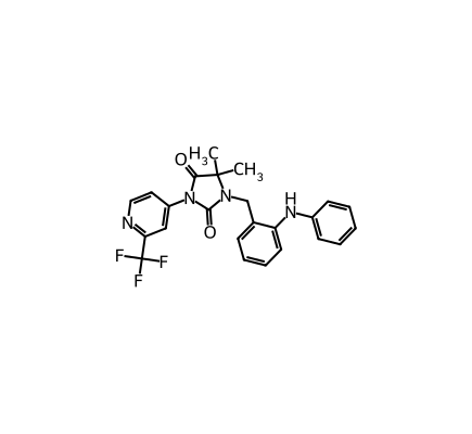 CC1(C)C(=O)N(c2ccnc(C(F)(F)F)c2)C(=O)N1Cc1ccccc1Nc1ccccc1